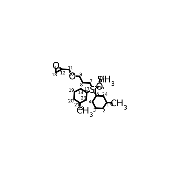 CC1CCCC([Si](CCCOCC2CO2)(O[SiH3])C2CCCC(C)C2)C1